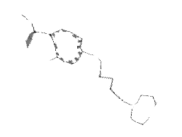 COC(=O)c1ccc(OCCCN2CCOCC2)cc1O